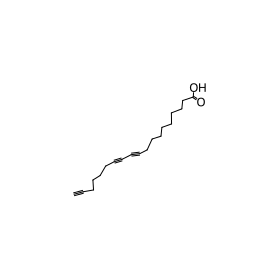 C#CCCCCC#CC#CCCCCCCCCC(=O)O